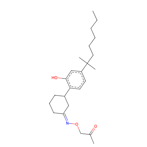 CCCCCCC(C)(C)c1ccc(C2CCC/C(=N/OCC(C)=O)C2)c(O)c1